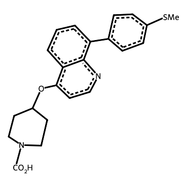 CSc1ccc(-c2cccc3c(OC4CCN(C(=O)O)CC4)ccnc23)cc1